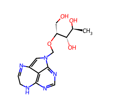 C[C@H](O)[C@H](O)[C@@H](CO)OCn1cc2c3c(ncnc31)NCC=N2